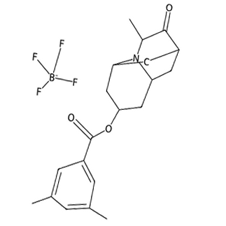 Cc1cc(C)cc(C(=O)OC2CC3CC4CC(C2)N3C(C)C4=O)c1.F[B-](F)(F)F